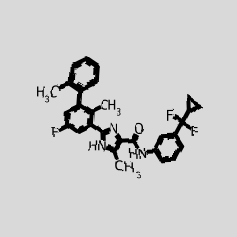 Cc1ccccc1-c1cc(F)cc(-c2nc(C(=O)Nc3cccc(C(F)(F)C4CC4)c3)c(C)[nH]2)c1C